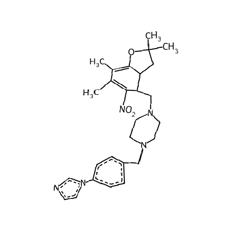 CC1=C2OC(C)(C)CC2C(CN2CCN(Cc3ccc(-n4ccnc4)cc3)CC2)C([N+](=O)[O-])=C1C